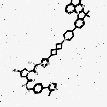 Cc1ncsc1-c1ccc([C@H](C)NC(=O)C2CC(O)CN2C(=O)[C@@H](n2cc(C3CC4(C3)CC(N3CCC(c5ccc6c(c5)-n5c(nc(=O)c7c(Cl)cccc75)C6(C)C)CC3)C4)nn2)C(C)(C)C)cc1